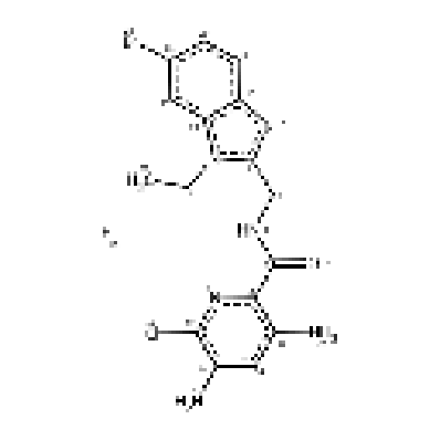 CCn1c(CNC(=O)c2nc(Cl)c(N)cc2N)nc2ccc(Br)cc21.I